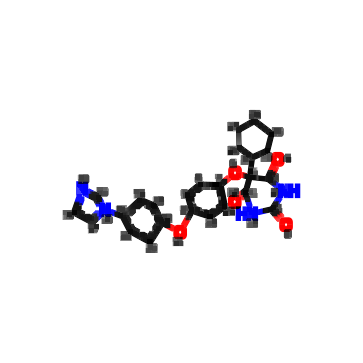 O=C1NC(=O)C(Oc2ccc(Oc3ccc(-n4ccnc4)cc3)cc2)(C2CCCCC2)C(=O)N1